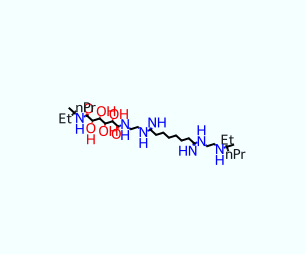 CCCC(C)(CC)NCCNC(=N)CCCCCCC(=N)NCCNC(=O)[C@H](O)[C@@H](O)[C@@H](O)[C@H](O)C(=O)NC(C)(CC)CCC